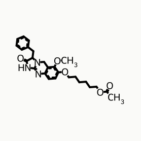 COc1c(OCCCCCCOC(C)=O)ccc2c1CN1C(=N2)NC(=O)C1Cc1ccccc1